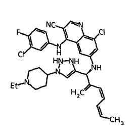 C=C(/C=C\C=C/C)[C@H](Nc1cc(Cl)c2ncc(C#N)c(Nc3ccc(F)c(Cl)c3)c2c1)C1=CN(C2CCN(CC)CC2)NN1